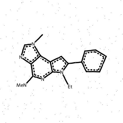 CCn1c(-c2ccccc2)cc2c3c(ncn3C)c(NC)nc21